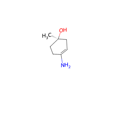 C[C@]1(O)CC=C(N)CC1